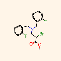 COC(=O)C(Br)CN(Cc1ccccc1F)Cc1ccccc1F